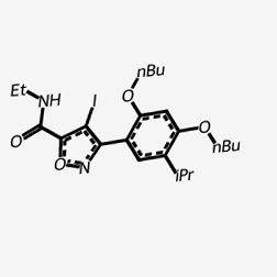 CCCCOc1cc(OCCCC)c(C(C)C)cc1-c1noc(C(=O)NCC)c1I